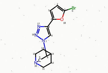 Brc1ccc(-c2cn(C3CN4CCC3CC4)nn2)o1